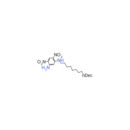 CCCCCCCCCCCCCCCCCCNc1cc(N)c([N+](=O)[O-])cc1[N+](=O)[O-]